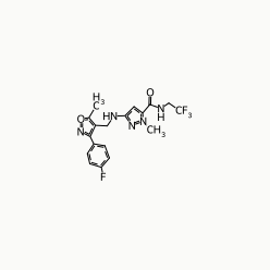 Cc1onc(-c2ccc(F)cc2)c1CNc1cc(C(=O)NCC(F)(F)F)n(C)n1